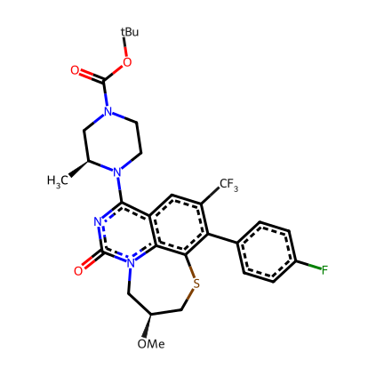 CO[C@@H]1CSc2c(-c3ccc(F)cc3)c(C(F)(F)F)cc3c(N4CCN(C(=O)OC(C)(C)C)C[C@@H]4C)nc(=O)n(c23)C1